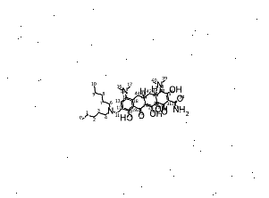 CCCCCN(CCCCC)Cc1cc(N(C)C)c2c(c1O)C(=O)C1=C(O)[C@@]3(O)C(=O)C(C(N)=O)=C(O)[C@H](N(C)C)[C@H]3C[C@H]1C2